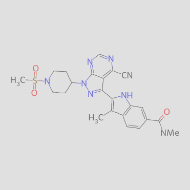 CNC(=O)c1ccc2c(C)c(-c3nn(C4CCN(S(C)(=O)=O)CC4)c4ncnc(C#N)c34)[nH]c2c1